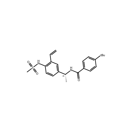 C=Cc1cc([C@@H](C)NC(=O)c2ccc(C(C)(C)C)cc2)ccc1NS(C)(=O)=O